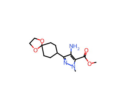 COC(=O)c1c(N)c(C2CCC3(CC2)OCCO3)nn1C